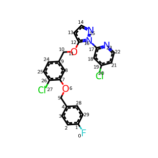 Fc1ccc(COc2cc(COc3ccnn3-c3cc(Cl)ccn3)ccc2Cl)cc1